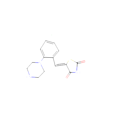 Cl.O=C1NC(=O)C(=Cc2ccccc2N2CCNCC2)S1